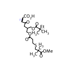 CCC(C)(C)C(=O)OCC(COC(=O)CCSCC(C)(C)C(=O)OC)CC(=O)/C=C\C(=O)O